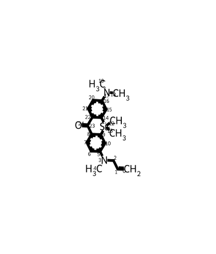 C=CCN(C)c1ccc2c(c1)[Si](C)(C)c1cc(N(C)C)ccc1C2=O